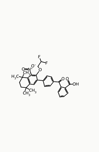 CC1(C)CCC(C)(C)c2c1cc(-c1ccc(C(=O)c3ccccc3C(=O)O)cc1)c(OCC(F)F)c2[N+](=O)[O-]